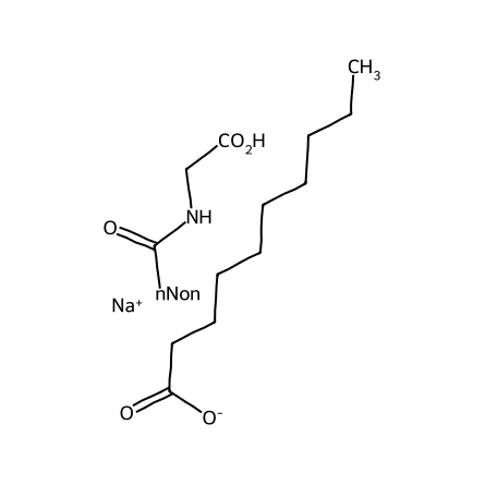 CCCCCCCCCC(=O)NCC(=O)O.CCCCCCCCCC(=O)[O-].[Na+]